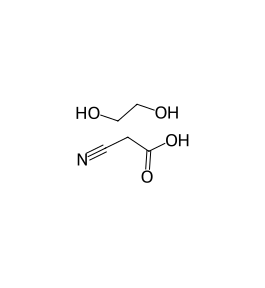 N#CCC(=O)O.OCCO